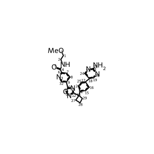 COCCNC(=O)c1ccc(-c2nc(C3(c4ccc(-c5cnc(N)nc5)cc4)CCC3)no2)cn1